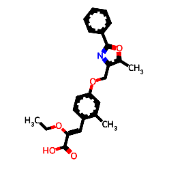 CCO/C(=C\c1ccc(OCc2nc(-c3ccccc3)oc2C)cc1C)C(=O)O